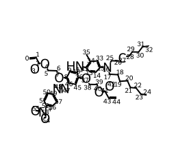 C=CC(=O)OCCOc1cc(Nc2ccc(N(CCCCCCCC)CCCCCCCC)cc2C)c(OCCOC(=O)C=C)cc1/N=N/c1ccc([N+](=O)[O-])cc1